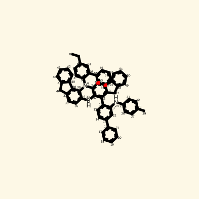 CCc1ccc(N2c3cc4c(c(-c5ccc(-c6ccccc6)cc5Nc5ccc(C)cc5)c3Bc3ccc5c(c32)-c2ccccc2C5)Cc2ccccc2-4)c(-c2ccccc2)c1